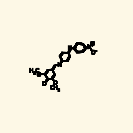 COC1=CC(=CN=C2C=CC(=Nc3ccc([N+](=O)[O-])cc3)C=C2)C=C(OC)C1=O